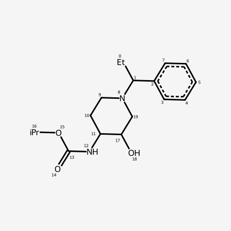 CCC(c1ccccc1)N1CCC(NC(=O)OC(C)C)C(O)C1